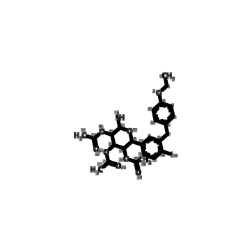 CCOc1ccc(Cc2cc(C3OC(S)C(OC(C)=O)C(OC(C)=O)C3OC(C)=O)ccc2I)cc1